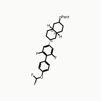 CCCCCC1CC[C@@H]2C[C@H](c3cc(F)c(-c4ccc(OC(F)F)cc4)c(F)c3)CC[C@@H]2C1